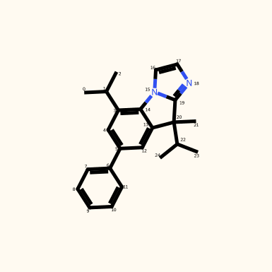 CC(C)c1cc(-c2ccccc2)cc2c1-n1ccnc1C2(C)C(C)C